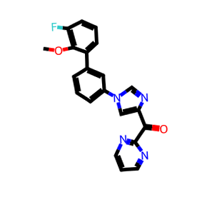 COc1c(F)cccc1-c1cccc(-n2cnc(C(=O)c3ncccn3)c2)c1